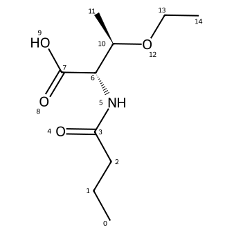 CCCC(=O)N[C@H](C(=O)O)[C@@H](C)OCC